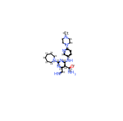 CCN1CCN(c2ccc(Nc3nc(N4CCCCCC4)nc(C=N)c3C(N)=O)cn2)CC1